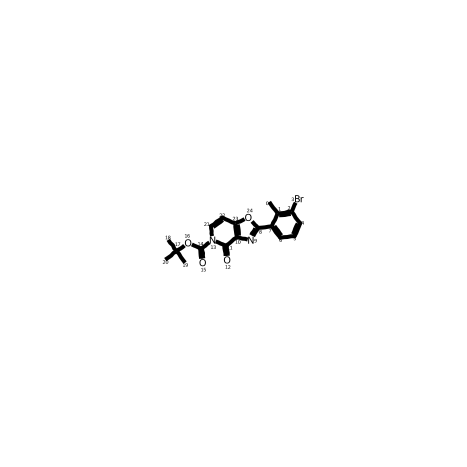 Cc1c(Br)cccc1-c1nc2c(=O)n(C(=O)OC(C)(C)C)ccc2o1